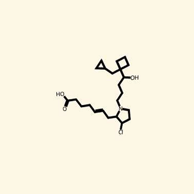 O=C(O)CCCC=CCC1C(Cl)CCN1CCCC(O)C1(CC2CC2)CCC1